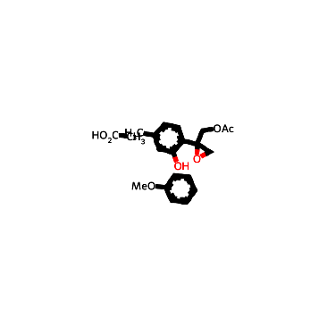 CC(=O)O.CC(=O)OCC1(c2ccc(C)cc2O)CO1.COc1ccccc1